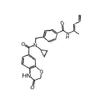 C=CC=C(C)NC(=O)c1ccc(CN(C(=O)c2ccc3c(c2)OCC(=O)N3)C2CC2)cc1